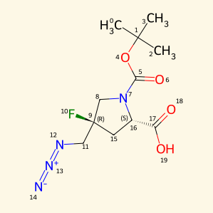 CC(C)(C)OC(=O)N1C[C@@](F)(CN=[N+]=[N-])C[C@H]1C(=O)O